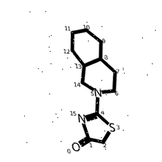 O=C1CSC(N2CCC3CCCCC3C2)=N1